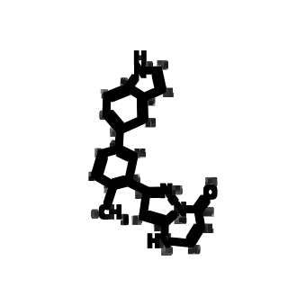 Cc1ccc(-c2ccc3[nH]ccc3c2)cc1-c1cc2[nH]ccc(=O)n2n1